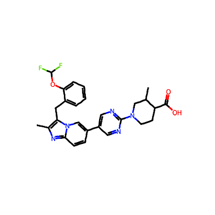 Cc1nc2ccc(-c3cnc(N4CCC(C(=O)O)C(C)C4)nc3)cn2c1Cc1ccccc1OC(F)F